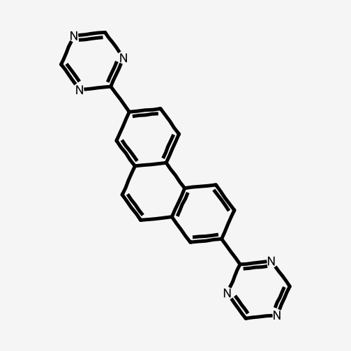 c1ncnc(-c2ccc3c(ccc4cc(-c5ncncn5)ccc43)c2)n1